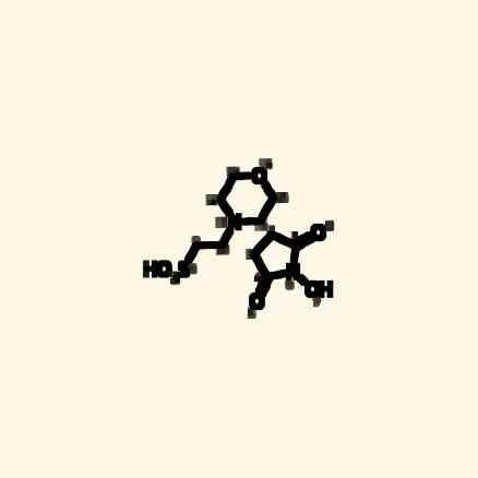 O=C1CCC(=O)N1O.O=S(=O)(O)CCN1CCOCC1